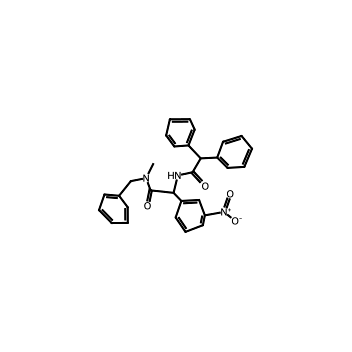 CN(Cc1ccccc1)C(=O)C(NC(=O)C(c1ccccc1)c1ccccc1)c1cccc([N+](=O)[O-])c1